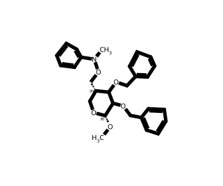 CO[C@@H]1OC[C@H](CON(C)c2ccccc2)C(OCc2ccccc2)C1OCc1ccccc1